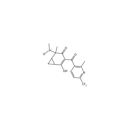 Cc1nc(C(F)(F)F)ccc1C(=O)C1=C(O)C2CC2C(C)([S+](C)[O-])C1=O